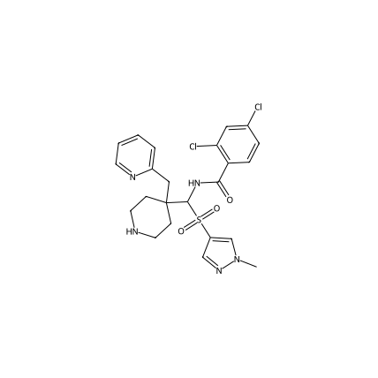 Cn1cc(S(=O)(=O)C(NC(=O)c2ccc(Cl)cc2Cl)C2(Cc3ccccn3)CCNCC2)cn1